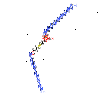 N=N/N=N/N=N/N=N/N=N/N=N/N=N/N=N/N=N\OCCCSSCCOP(=O)(O)O\N=N/N=N/N=N/N=N/N=N/N=N/N=N/N=N/N=N